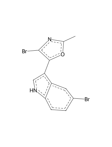 Cc1nc(Br)c(-c2c[nH]c3ccc(Br)cc23)o1